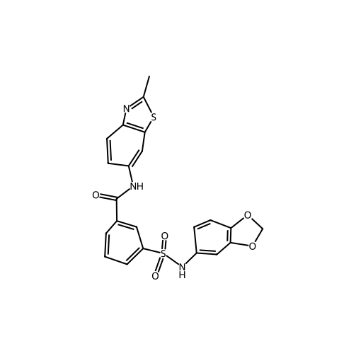 Cc1nc2ccc(NC(=O)c3cccc(S(=O)(=O)Nc4ccc5c(c4)OCO5)c3)cc2s1